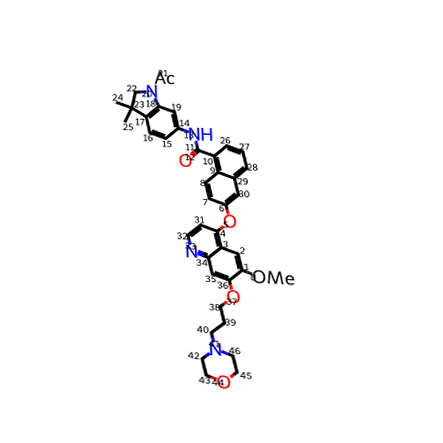 COc1cc2c(Oc3ccc4c(C(=O)Nc5ccc6c(c5)N(C(C)=O)CC6(C)C)cccc4c3)ccnc2cc1OCCCN1CCOCC1